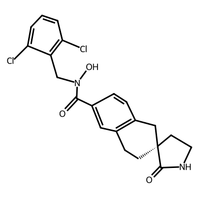 O=C(c1ccc2c(c1)CC[C@@]1(CCNC1=O)C2)N(O)Cc1c(Cl)cccc1Cl